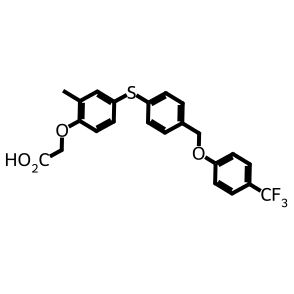 Cc1cc(Sc2ccc(COc3ccc(C(F)(F)F)cc3)cc2)ccc1OCC(=O)O